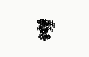 CNCCC1COCc2nc3cccc(-c4cccc(N[C@H]5C[C@@H](C(=O)O)N(C(=O)OC(C)(C)C)C5)n4)c3n21